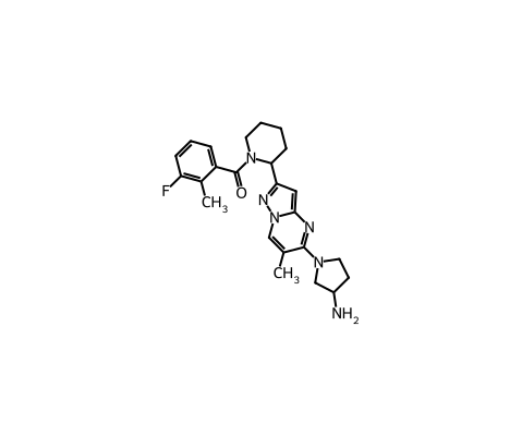 Cc1cn2nc(C3CCCCN3C(=O)c3cccc(F)c3C)cc2nc1N1CCC(N)C1